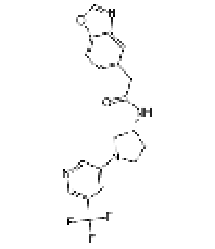 O=C(Cc1ccc2ocnc2c1)N[C@@H]1CCN(c2cncc(C(F)(F)F)c2)C1